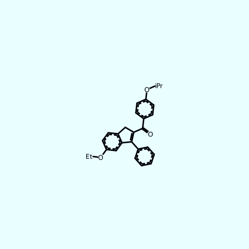 CCOc1ccc2c(c1)C(c1ccccc1)=C(C(=O)c1ccc(OC(C)C)cc1)C2